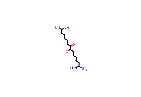 NC(N)CCCCCC(=O)C(=O)CCCCCC(N)N